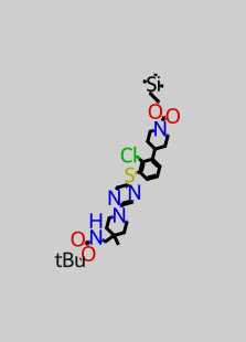 CC1(CNC(=O)OC(C)(C)C)CCN(c2cnc(Sc3cccc(C4CCN(C(=O)OCC[Si](C)(C)C)CC4)c3Cl)cn2)CC1